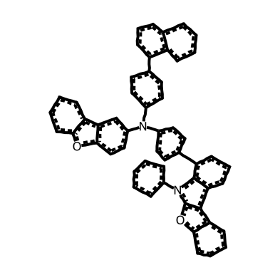 c1ccc(-n2c3oc4ccccc4c3c3cccc(-c4ccc(N(c5ccc(-c6cccc7ccccc67)cc5)c5ccc6oc7ccccc7c6c5)cc4)c32)cc1